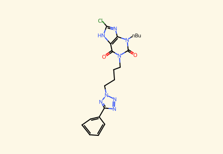 CCCCn1c(=O)n(CCCCn2nnc(-c3ccccc3)n2)c(=O)c2[nH]c(Cl)nc21